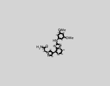 COc1cc(Nc2nc3c(-c4cnn(CC(N)=O)c4)nccn3n2)cc(OC)c1